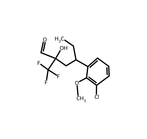 CCC(CC(O)(C=O)C(F)(F)F)c1cccc(Cl)c1OC